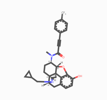 CN(C(=O)C#Cc1ccc(C(F)(F)F)cc1)[C@@H]1CC[C@H]2[C@H]3Cc4ccc(O)c5c4[C@@]2(CCN3CC2CC2)[C@H]1O5